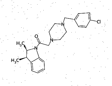 C[C@@H]1c2ccccc2N(C(=O)CN2CCN(Cc3ccc(Cl)cc3)CC2)[C@@H]1C